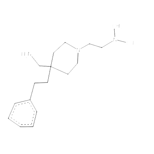 CN(C)CCN1CCC(CN)(CCc2ccccc2)CC1